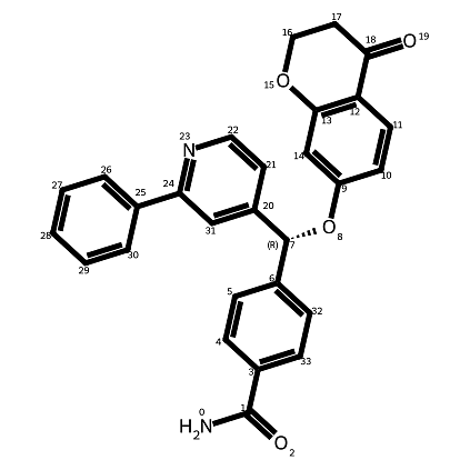 NC(=O)c1ccc([C@@H](Oc2ccc3c(c2)OCCC3=O)c2ccnc(-c3ccccc3)c2)cc1